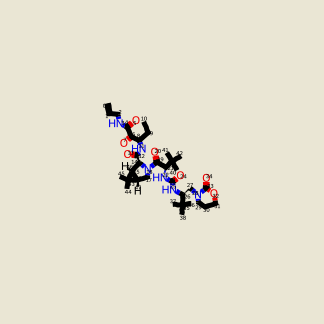 C=CCNC(=O)C(=O)C(CC)NC(=O)[C@@H]1[C@@H]2[C@H](CN1C(=O)[C@@H](NC(=O)N[C@H](CN1CCCOC1=O)C(C)(C)C)C(C)(C)C)C2(C)C